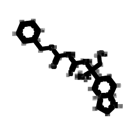 CC(C)(C)C[C@](NC(=S)NC(=O)OCc1ccccc1)(C(=O)O)c1ccc2nccn2c1